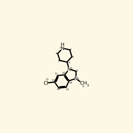 CN1[CH]N(C2CCNCC2)c2cc(Cl)ccc21